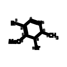 COC1=C(Br)C=NC(C)C1Br